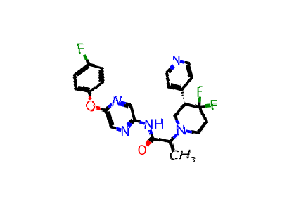 CC(C(=O)Nc1cnc(Oc2ccc(F)cc2)cn1)N1CCC(F)(F)[C@@H](c2ccncc2)C1